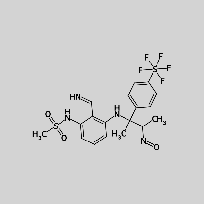 CC(N=O)C(C)(Nc1cccc(NS(C)(=O)=O)c1C=N)c1ccc(S(F)(F)(F)(F)F)cc1